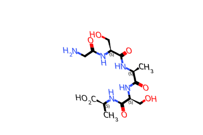 C[C@H](NC(=O)[C@H](CO)NC(=O)[C@H](C)NC(=O)[C@H](CO)NC(=O)CN)C(=O)O